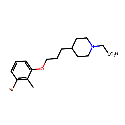 Cc1c(Br)cccc1OCCCC1CCN(CC(=O)O)CC1